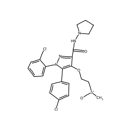 C[S+]([O-])CCOc1c(C(=O)NN2CCCC2)nn(-c2ccccc2Cl)c1-c1ccc(Cl)cc1